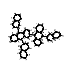 c1ccc2cc(-c3c4ccccc4c(-c4ccc5ccccc5c4)c4cc(-c5c6ccccc6c(-c6cnc7ccccc7c6)c6ccccc56)ccc34)ccc2c1